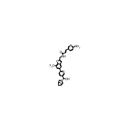 Nc1ccc(/C=C/C(=O)NCc2cc3cc(-c4ccc(C(O)N5CC6CC(C5)O6)cn4)cc(C(F)(F)F)c3o2)cn1